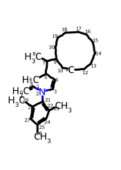 C=CN(/C=C\C(C)C(C)C1CCCCCCCCCCC1)c1c(C)cc(C)cc1C